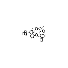 Cc1cc(-c2ccnn2C)c2cccc(OCc3c(Cl)cncc3CN3C(=O)CC(C)C3=O)c2n1